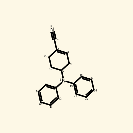 N#CC1=CCC(N(c2ccccc2)c2ccccc2)CC1